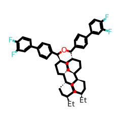 CC[C@H]1CC[C@H]([C@H]2CC[C@H](C(OC(c3ccc(-c4ccc(F)c(F)c4)cc3)[C@H]3CC[C@H]([C@H]4CC[C@H](CC)CC4)CC3)c3ccc(-c4ccc(F)c(F)c4)cc3)CC2)CC1